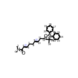 CN(C)C(=O)/C=C/CC/C=C/CCO[Si](c1ccccc1)(c1ccccc1)C(C)(C)C